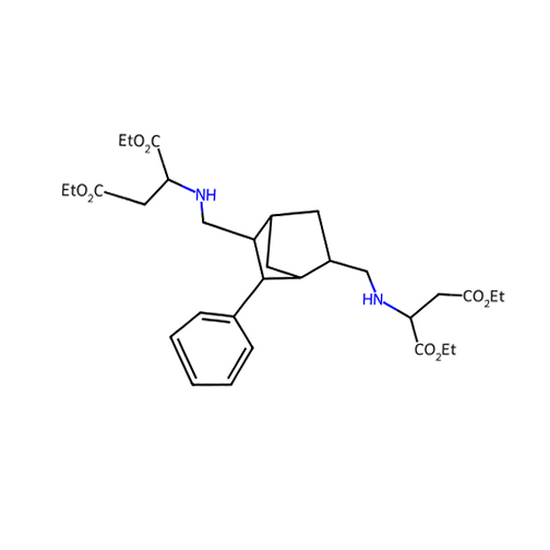 CCOC(=O)CC(NCC1CC2CC1C(c1ccccc1)C2CNC(CC(=O)OCC)C(=O)OCC)C(=O)OCC